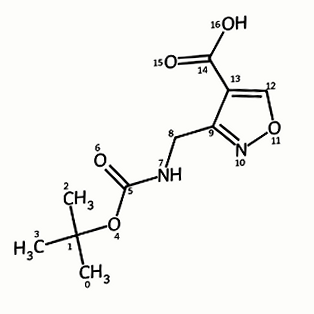 CC(C)(C)OC(=O)NCc1nocc1C(=O)O